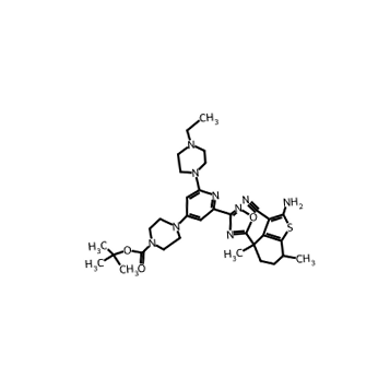 CCN1CCN(c2cc(N3CCN(C(=O)OC(C)(C)C)CC3)cc(-c3noc(C4(C)CCC(C)c5sc(N)c(C#N)c54)n3)n2)CC1